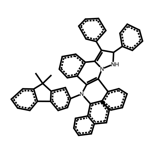 CC1(C)c2ccccc2-c2ccc(N(C3=C(c4ccccc4)N4NC(c5ccccc5)C(c5ccccc5)=C4c4ccccc43)c3cccc4ccccc34)cc21